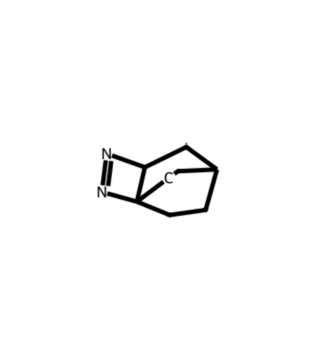 [CH]1C2CCC3(CC2)N=NC13